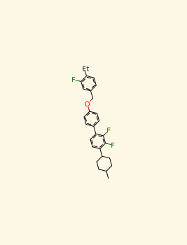 CCc1ccc(COc2ccc(-c3ccc(C4CCC(C)CC4)c(F)c3F)cc2)cc1F